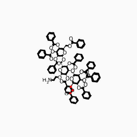 NCCO[C@H]1O[C@H](CO[C@H]2O[C@H](COC(=O)c3ccccc3)[C@@H](OC(=O)c3ccccc3)[C@H](OC(=O)c3ccccc3)[C@@H]2OC(=O)c2ccccc2)[C@@H](OC(=O)c2ccccc2)[C@H](O[C@H]2O[C@H](COC(=O)c3ccccc3)[C@@H](OC(=O)c3ccccc3)[C@H](OC(=O)c3ccccc3)[C@@H]2OC(=O)c2ccccc2)[C@@H]1OC(=O)c1ccccc1